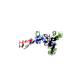 C[C@@H]1CN(c2nc(Cl)nc3c2ncn3CCN(C)C(=O)O)[C@@H](C)CN1C(c1ccc(C(F)(F)F)cc1)c1ccc(C(F)(F)F)cn1